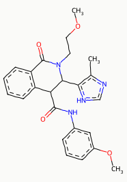 COCCN1C(=O)c2ccccc2C(C(=O)Nc2cccc(OC)c2)C1c1[nH]cnc1C